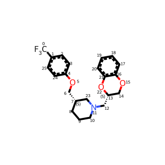 FC(F)(F)c1ccc(OC[C@H]2CCCN(C[C@H]3COc4ccccc4O3)C2)cc1